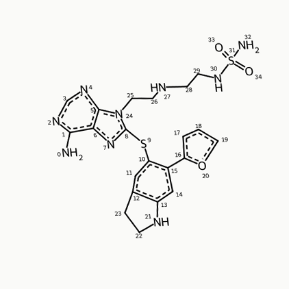 Nc1ncnc2c1nc(Sc1cc3c(cc1-c1ccco1)NCC3)n2CCNCCNS(N)(=O)=O